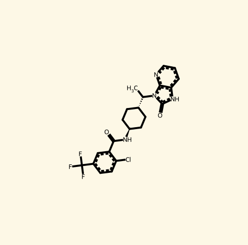 CC([C@H]1CC[C@H](NC(=O)c2cc(C(F)(F)F)ccc2Cl)CC1)n1c(=O)[nH]c2cccnc21